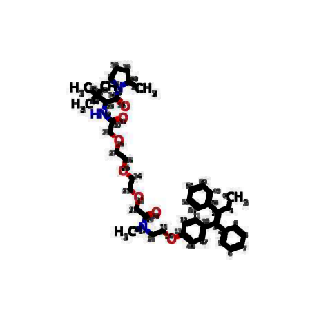 CC/C(=C(\c1ccccc1)c1ccc(OCCN(C)C(=O)COCCOCCOCC(=O)NC(C(=O)N2CCCC2C)C(C)(C)C)cc1)c1ccccc1